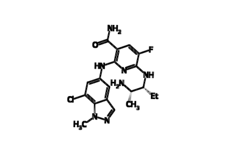 CC[C@@H](Nc1nc(Nc2cc(Cl)c3c(cnn3C)c2)c(C(N)=O)cc1F)[C@H](C)N